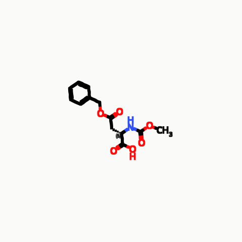 COC(=O)N[C@@H](CC(=O)OCc1ccccc1)C(=O)O